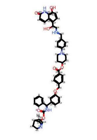 O=C(NC(c1ccccc1)c1cccc(OCc2ccc(C(=O)OC3CCN(c4ccc(CNCC(O)c5ccc(O)c6[nH]c(=O)ccc56)cc4)CC3)cc2)c1)O[C@H]1CN2CCC1CC2